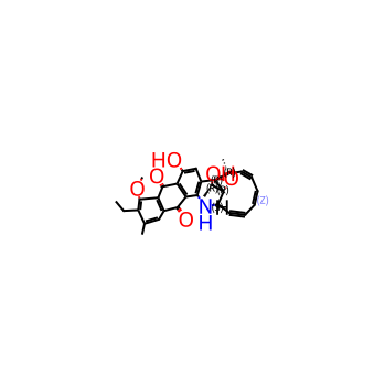 CCc1c(C)cc2c(c1OC)C(=O)c1c(O)cc3c(c1C2=O)N[C@H]1C#C/C=C\C#C[C@@H](C)[C@@]32O[C@@]12[C@@H](C)O